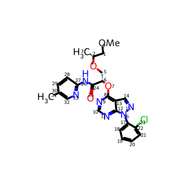 COC[C@@H](C)OC[C@H](Oc1ncnc2c1cnn2-c1ccccc1Cl)C(=O)Nc1ccc(C)cn1